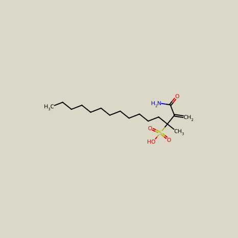 C=C(C(N)=O)C(C)(CCCCCCCCCCCC)S(=O)(=O)O